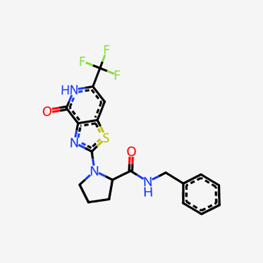 O=C(NCc1ccccc1)C1CCCN1c1nc2c(=O)[nH]c(C(F)(F)F)cc2s1